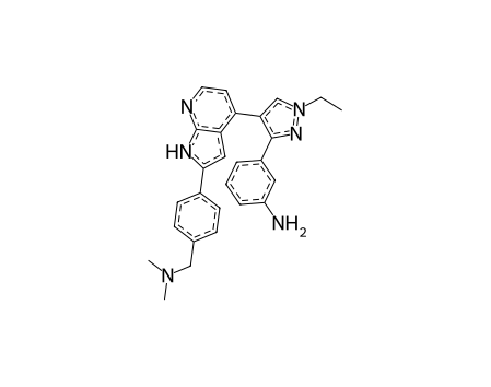 CCn1cc(-c2ccnc3[nH]c(-c4ccc(CN(C)C)cc4)cc23)c(-c2cccc(N)c2)n1